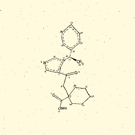 COC(=O)C1(CC(=O)c2cncn2[C@H](C)c2ccccc2)CCCCC1